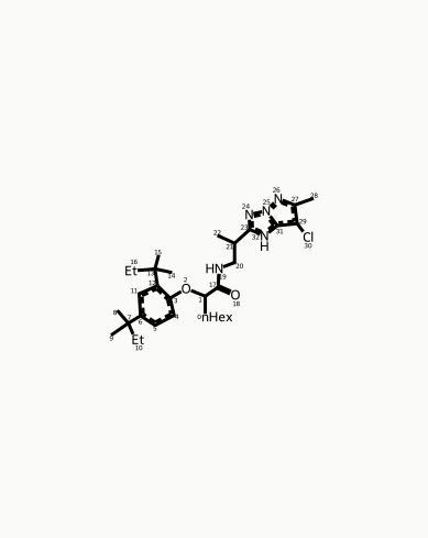 CCCCCCC(Oc1ccc(C(C)(C)CC)cc1C(C)(C)CC)C(=O)NCC(C)c1nn2nc(C)c(Cl)c2[nH]1